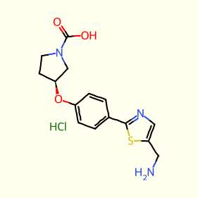 Cl.NCc1cnc(-c2ccc(O[C@H]3CCN(C(=O)O)C3)cc2)s1